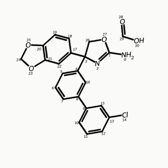 NC1=NC(c2cccc(-c3cccc(Cl)c3)c2)(c2ccc3c(c2)OCO3)CO1.O=CO